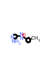 Cc1cccc(-c2nc(-c3ccnc(N)c3)no2)c1